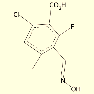 Cc1cc(Cl)c(C(=O)O)c(F)c1C=NO